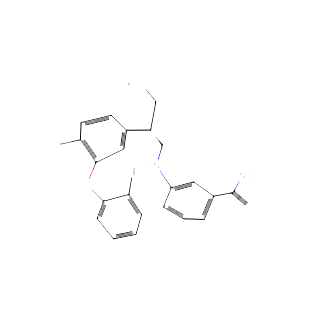 C=C(N)c1cccc(NC[C@H](CC=O)c2ccc(Cl)c(Oc3ccccc3C(C)C)c2)c1